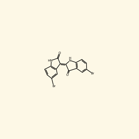 O=C1Nc2ccc(Br)cc2/C1=C1/Nc2ccc(Br)cc2C1=O